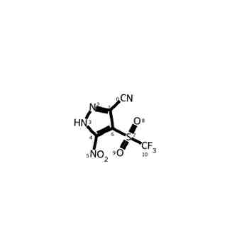 N#Cc1n[nH]c([N+](=O)[O-])c1S(=O)(=O)C(F)(F)F